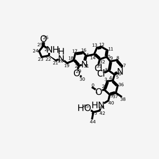 COc1cc(-c2nccc(-c3cccc(-c4ccc(CNC[C@H]5CCC(=O)N5)c(OC)n4)c3Cl)c2Cl)cc(C)c1CNCC(C)O